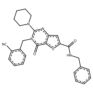 N#Cc1ccccc1Cn1c(N2CCCCC2)nc2cc(C(=O)NCc3ccccc3)sc2c1=O